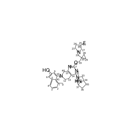 Cc1cccc2cc(O)cc(N3CCc4c(nc(OCC5(CN6CC[C@@H](F)C6)CC5)nc4N4CC5CCC(C4)N5)C3)c12